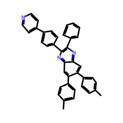 Cc1ccc(-c2cc3nc(-c4ccccc4)c(-c4ccc(-c5ccncc5)cc4)nc3cc2-c2ccc(C)cc2)cc1